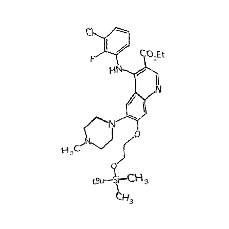 CCOC(=O)c1cnc2cc(OCCO[Si](C)(C)C(C)(C)C)c(N3CCN(C)CC3)cc2c1Nc1cccc(Cl)c1F